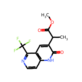 COC(=O)C(C)c1cc2c(C(F)(F)F)nccc2[nH]c1=O